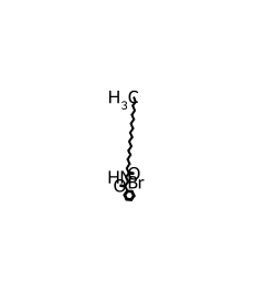 CCCCCCCCCCCCCCCCCC(=O)NC(Br)C(=O)c1ccccc1